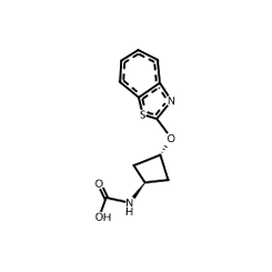 O=C(O)N[C@H]1C[C@H](Oc2nc3ccccc3s2)C1